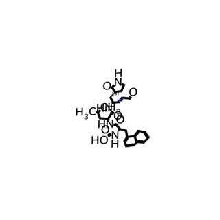 CC(C)CC(NC(=O)C(Cc1cccc2ccccc12)NC(=O)O)C(=O)NC(/C=C/C=O)C[C@@H]1CCNC1=O